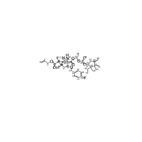 C=CCOC(=O)[C@@]1(F)[C@@H]2C[C@@H](OCc3ccc(F)cc3)[C@@](N)(C(=O)OC(C)OC(=O)O[C@H]3C[C@@H](C)C(C)(C)C3(C)CC)[C@@H]21